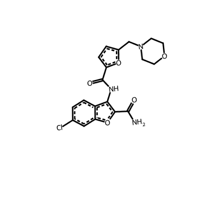 NC(=O)c1oc2cc(Cl)ccc2c1NC(=O)c1ccc(CN2CCOCC2)o1